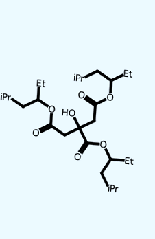 CCC(CC(C)C)OC(=O)CC(O)(CC(=O)OC(CC)CC(C)C)C(=O)OC(CC)CC(C)C